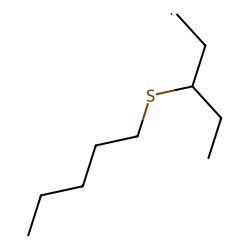 [CH2]CC(CC)SCCCCC